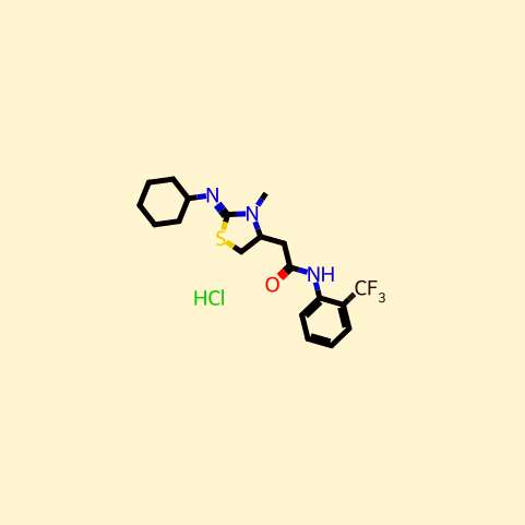 CN1C(=NC2CCCCC2)SCC1CC(=O)Nc1ccccc1C(F)(F)F.Cl